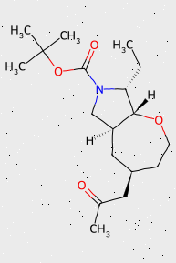 CC[C@@H]1[C@@H]2OCC[C@@H](CC(C)=O)C[C@H]2CN1C(=O)OC(C)(C)C